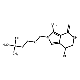 Cc1c2c(cn1COCC[Si](C)(C)C)C(Br)CNC2=O